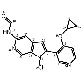 Cn1c(-c2cnccc2OC2CC2)cc2cc(NC=O)ncc21